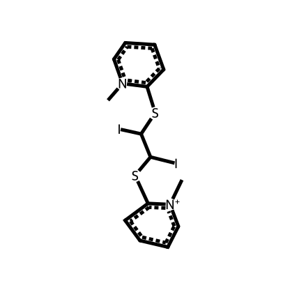 C[n+]1ccccc1SC(I)C(I)Sc1cccc[n+]1C